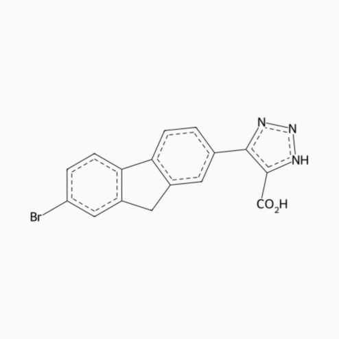 O=C(O)c1[nH]nnc1-c1ccc2c(c1)Cc1cc(Br)ccc1-2